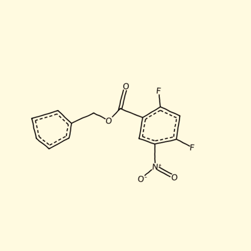 O=C(OCc1ccccc1)c1cc([N+](=O)[O-])c(F)cc1F